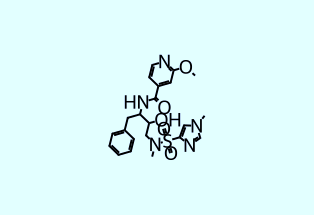 COc1cc(C(=O)NC(Cc2ccccc2)C(O)CN(C)S(=O)(=O)c2cn(C)cn2)ccn1